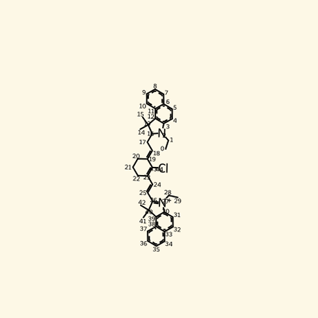 CCN1c2ccc3ccccc3c2C(C)(C)C1C/C=C1\CCCC(/C=C/C2=[N+](CC)c3ccc4ccccc4c3C2(C)C)=C1Cl